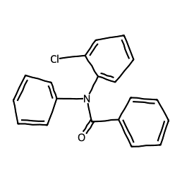 O=C(c1ccccc1)N(c1ccccc1)c1ccccc1Cl